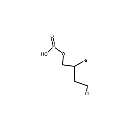 O=[PH](O)OCC(Br)CCCl